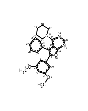 COc1cc(OC)cc(-c2oc3ncnc(N4CCCCC4)c3c2-c2ccccc2)c1